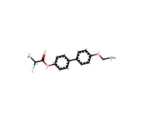 CCCCCCCCCCCOc1ccc(-c2ccc(OC(=O)C(F)C(C)C)cc2)cc1